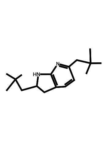 CC(C)(C)Cc1ccc2c(n1)NC(CC(C)(C)C)C2